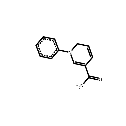 NC(=O)C1=CN(c2ccccc2)CC=C1